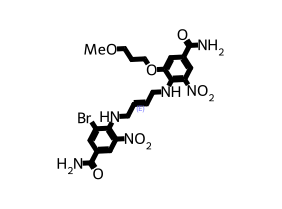 COCCCOc1cc(C(N)=O)cc([N+](=O)[O-])c1NC/C=C/CNc1c(Br)cc(C(N)=O)cc1[N+](=O)[O-]